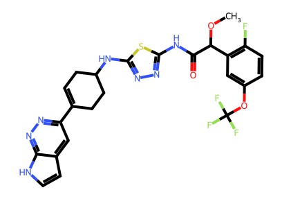 COC(C(=O)Nc1nnc(NC2CC=C(c3cc4cc[nH]c4nn3)CC2)s1)c1cc(OC(F)(F)F)ccc1F